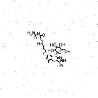 Cc1cc(OCCCNCCC(=O)N(C)C(N)=O)ccc1Cc1c(O[C@@H]2O[C@H](CO)[C@@H](O)[C@H](O)[C@H]2O)n[nH]c1C(C)C